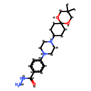 CC1(C)COC2(CCC(N3CCN(c4ccc(C(=O)NN)cc4)CC3)CC2)OC1